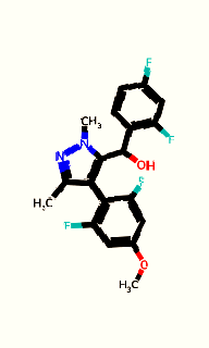 COc1cc(F)c(-c2c(C)nn(C)c2C(O)c2ccc(F)cc2F)c(F)c1